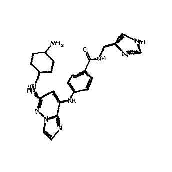 NC1CCC(Nc2cc(Nc3ccc(C(=O)NCc4c[nH]cn4)cc3)c3nccn3n2)CC1